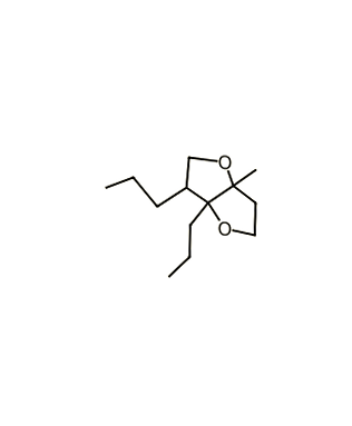 CCCC1COC2(C)CCOC12CCC